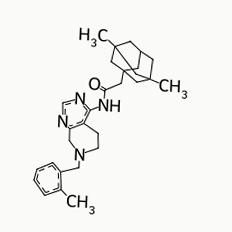 Cc1ccccc1CN1CCc2c(ncnc2NC(=O)CC23CC4CC(C)(CC(C)(C4)C2)C3)C1